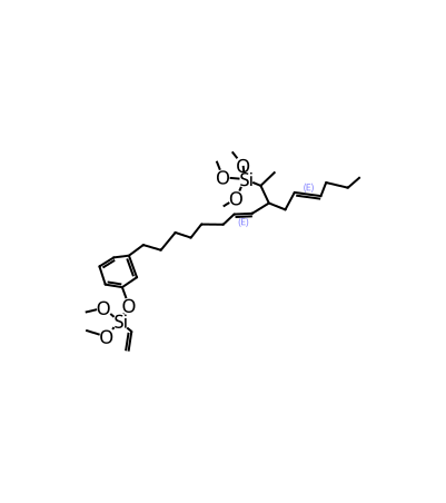 C=C[Si](OC)(OC)Oc1cccc(CCCCCC/C=C/C(C/C=C/CCC)C(C)[Si](OC)(OC)OC)c1